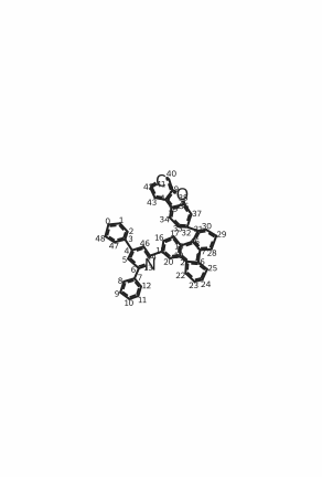 c1ccc(-c2cc(-c3ccccc3)nc(-c3ccc4c(c3)c3ccccc3c3cccc(-c5ccc6c(c5)oc5ccccc56)c34)c2)cc1